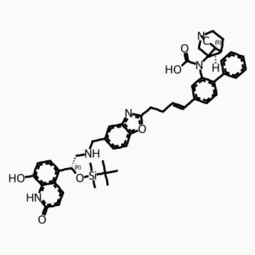 CC(C)(C)[Si](C)(C)O[C@@H](CNCc1ccc2oc(CCC=Cc3ccc(-c4ccccc4)c(N(C(=O)O)[C@H]4CN5CCC4CC5)c3)nc2c1)c1ccc(O)c2[nH]c(=O)ccc12